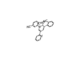 N#Cc1cccc(N2C=C(c3ccccn3)C=C(c3ccccc3C#N)C2C=O)c1